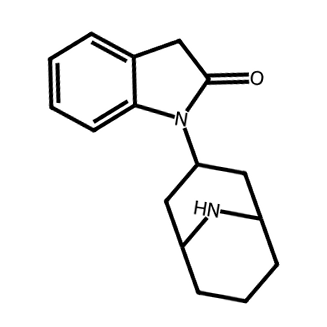 O=C1Cc2ccccc2N1C1CC2CCCC(C1)N2